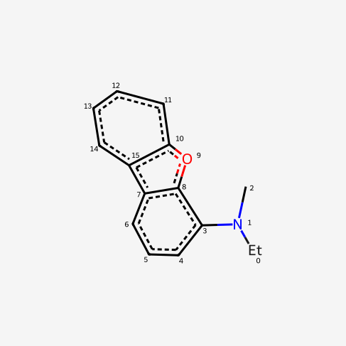 CCN(C)c1cccc2c1oc1ccccc12